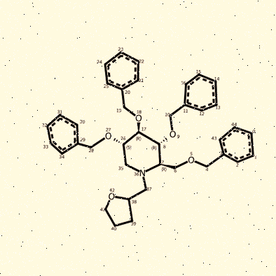 c1ccc(COC[C@@H]2[C@@H](OCc3ccccc3)[C@H](OCc3ccccc3)[C@@H](OCc3ccccc3)CN2CC2CCCO2)cc1